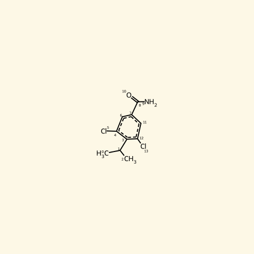 CC(C)c1c(Cl)cc(C(N)=O)cc1Cl